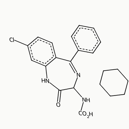 C1CCCCC1.O=C(O)NC1N=C(c2ccccc2)c2ccc(Cl)cc2NC1=O